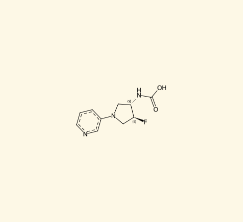 O=C(O)N[C@H]1CN(c2cccnc2)C[C@@H]1F